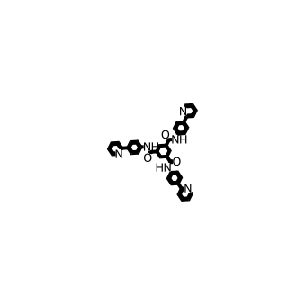 O=C(Nc1ccc(-c2ccccn2)cc1)C1CC(C(=O)Nc2ccc(-c3ccccn3)cc2)CC(C(=O)Nc2ccc(-c3ccccn3)cc2)C1